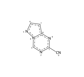 N#Cc1ncn2nccc2n1